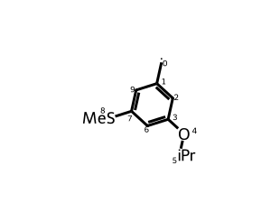 [CH2]c1cc(OC(C)C)cc(SC)c1